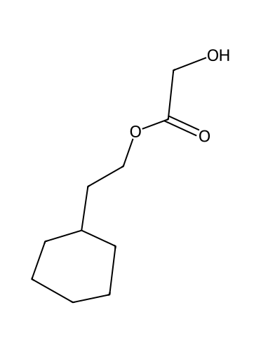 O=C(CO)OCCC1CCCCC1